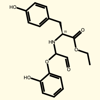 CCOC(=O)[C@H](Cc1ccc(O)cc1)NC(C=O)Oc1ccccc1O